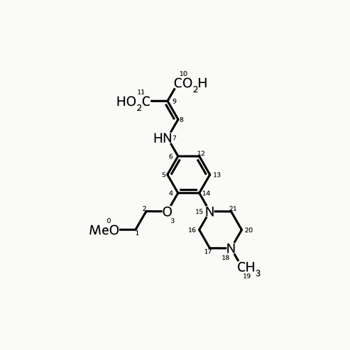 COCCOc1cc(NC=C(C(=O)O)C(=O)O)ccc1N1CCN(C)CC1